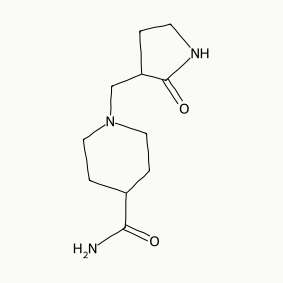 NC(=O)C1CCN(CC2CCNC2=O)CC1